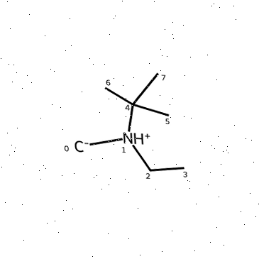 [CH2-][NH+](CC)C(C)(C)C